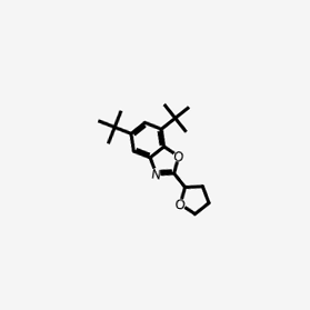 CC(C)(C)c1cc(C(C)(C)C)c2oc(C3CCCO3)nc2c1